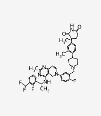 Cc1nc2c(c(N[C@H](C)c3cccc(C(F)F)c3F)n1)CN(c1ccc(F)c(CN3CCC(c4ccc([C@@]5(C)CCC(=O)NC5=O)cc4C)CC3)c1)C=C2